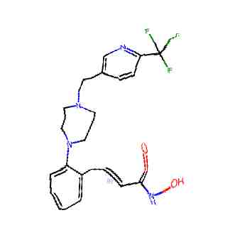 O=C(/C=C/c1ccccc1N1CCN(Cc2ccc(C(F)(F)F)nc2)CC1)NO